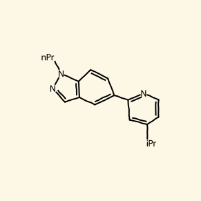 CCCn1ncc2cc(-c3cc(C(C)C)ccn3)ccc21